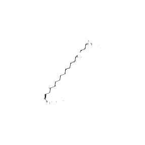 CCCCCCCC/C=C\CCCCCCCCCCCCOCCCN